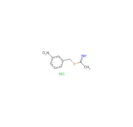 CC(=N)SCc1cccc([N+](=O)[O-])c1.Cl